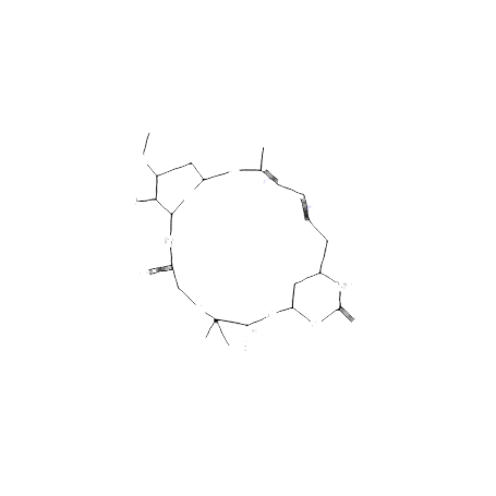 COC1CC2C/C(C)=C/C=C/CC3CC(C[C@H](C)C(C)(C)CCC(=O)NC(C2)C1Cl)OC(=O)N3